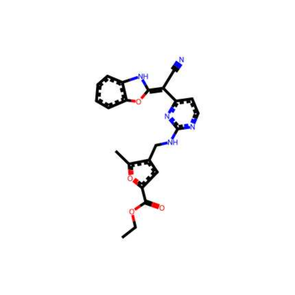 CCOC(=O)c1cc(CNc2nccc(C(C#N)=C3Nc4ccccc4O3)n2)c(C)o1